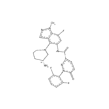 Cn1ncc2c(N3CCC[C@@H](N)C3)c(NC(=O)c3ccc(=O)n(-c4c(F)cccc4F)n3)cc(F)c21